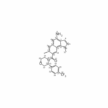 Cc1nc2nc(N)c3cnn(C)c3c2cc1C(=O)N1CCOC[C@@H]1c1ccc(C(F)(F)F)cc1